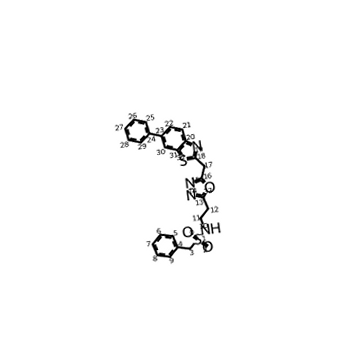 O=S(=O)(Cc1ccccc1)NCCc1nnc(Cc2nc3ccc(-c4ccccc4)cc3s2)o1